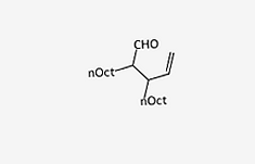 C=CC(CCCCCCCC)C(C=O)CCCCCCCC